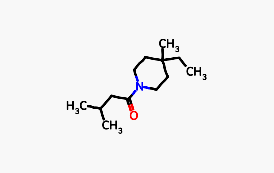 CCC1(C)CCN(C(=O)CC(C)C)CC1